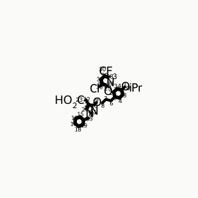 CC(C)Oc1ccc(CCCOc2nn(Cc3ccccc3)cc2CC(=O)O)c(Oc2ncc(C(F)(F)F)cc2Cl)c1